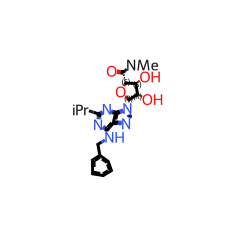 CNC(=O)[C@H]1O[C@@H](n2cnc3c(NCc4ccccc4)nc(C(C)C)nc32)[C@H](O)[C@@H]1O